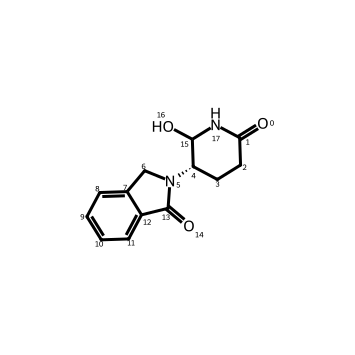 O=C1CC[C@H](N2Cc3ccccc3C2=O)C(O)N1